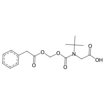 CC(C)(C)N(CC(=O)O)C(=O)OCOC(=O)Cc1ccccc1